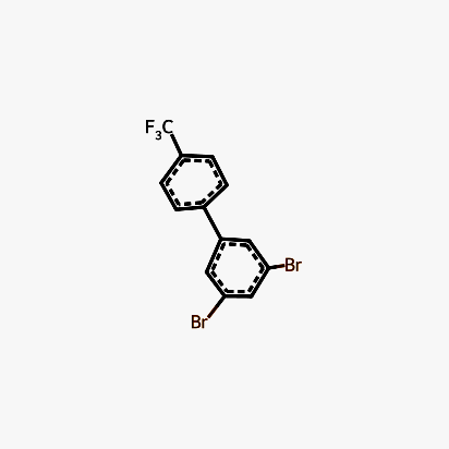 FC(F)(F)c1ccc(-c2cc(Br)cc(Br)c2)cc1